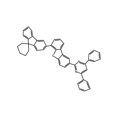 c1ccc(-c2cc(-c3ccccc3)nc(-c3ccc4sc5c(-c6ccc7c(c6)-c6ccccc6C76CCCCC6)cccc5c4c3)n2)cc1